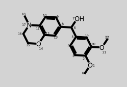 COc1ccc(C(O)c2ccc3c(c2)OCCN3C)cc1OC